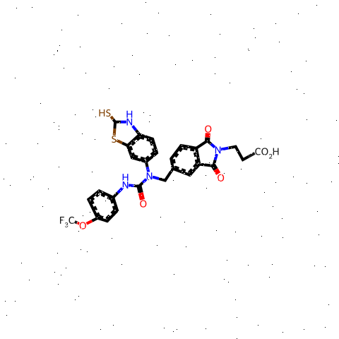 O=C(O)CCN1C(=O)c2ccc(CN(C(=O)Nc3ccc(OC(F)(F)F)cc3)c3ccc4c(c3)SC(S)N4)cc2C1=O